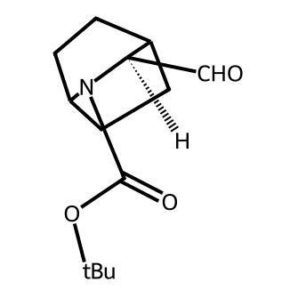 CC(C)(C)OC(=O)N1C2CCC(CC2)[C@H]1C=O